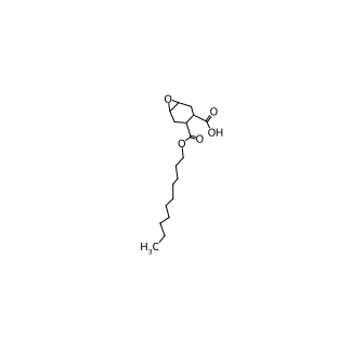 CCCCCCCCCCOC(=O)C1CC2OC2CC1C(=O)O